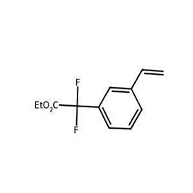 C=Cc1cccc(C(F)(F)C(=O)OCC)c1